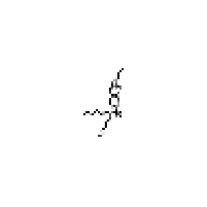 CCCCCCC(CCCCCC)C(=O)N1CCC2(CCN(CCCC)CC2)CC1